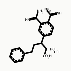 Cl.Cl.N=C(N)c1ccc(C(CCc2ccccc2)CC(=O)O)cc1C(=N)N